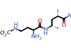 C[C@@H](C[C@H](C)C(N)=O)NC(=O)[C@@H](N)CCNC(=O)O